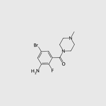 CN1CCN(C(=O)c2cc(Br)cc(N)c2F)CC1